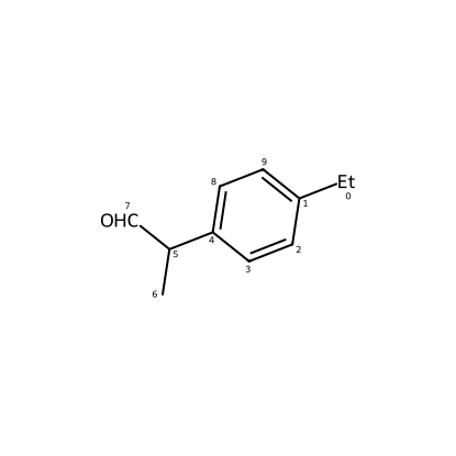 CCc1ccc(C(C)C=O)cc1